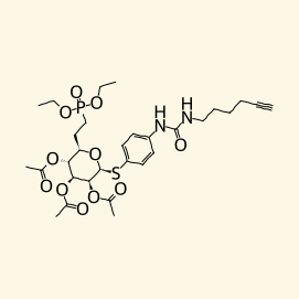 C#CCCCCNC(=O)Nc1ccc(S[C@@H]2O[C@H](CCP(=O)(OCC)OCC)[C@@H](OC(C)=O)[C@H](OC(C)=O)[C@@H]2OC(C)=O)cc1